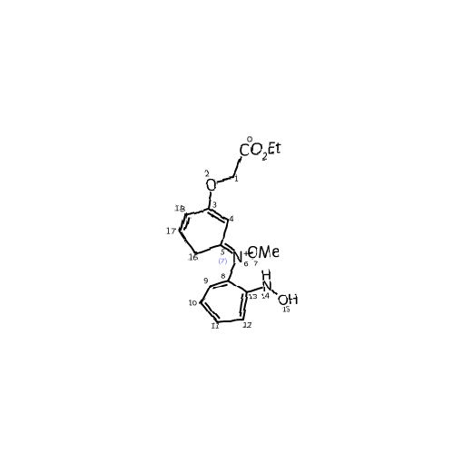 CCOC(=O)COC1=C/C(=[N+](\OC)c2ccccc2NO)CC=C1